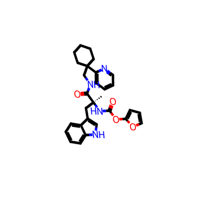 C[C@@](Cc1c[nH]c2ccccc12)(NC(=O)Oc1ccco1)C(=O)NCC1(c2ccccn2)CCCCC1